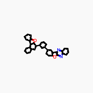 c1cc(-c2ccc3oc4nc5ccccc5nc4c3c2)cc(-c2cc3ccccc3c3c2oc2ccccc23)c1